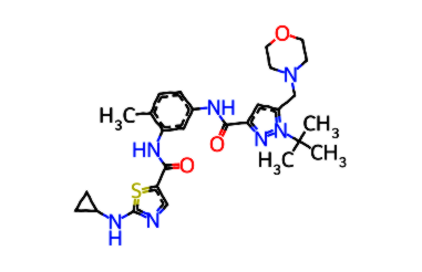 Cc1ccc(NC(=O)c2cc(CN3CCOCC3)n(C(C)(C)C)n2)cc1NC(=O)c1cnc(NC2CC2)s1